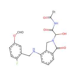 CCC(=O)NC(=O)C(O)N1Cc2c(NCc3cc(OC=O)ccc3F)cccc2C1=O